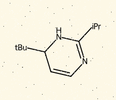 CC(C)C1=NC=CC(C(C)(C)C)N1